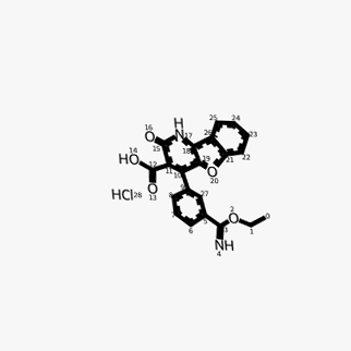 CCOC(=N)c1cccc(-c2c(C(=O)O)c(=O)[nH]c3c2oc2ccccc23)c1.Cl